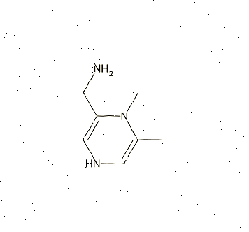 CC1=CNC=C(CN)N1C